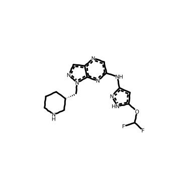 FC(F)Oc1cc(Nc2cnc3cnn(C[C@H]4CCCNC4)c3n2)n[nH]1